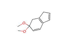 COC1(OC)C=CC2=C(CC=C2)C1